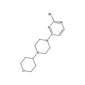 Brc1nccc(N2CCN(C3CCOCC3)CC2)n1